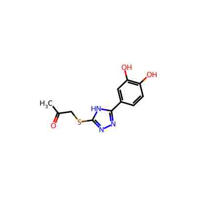 CC(=O)CSc1nnc(-c2ccc(O)c(O)c2)[nH]1